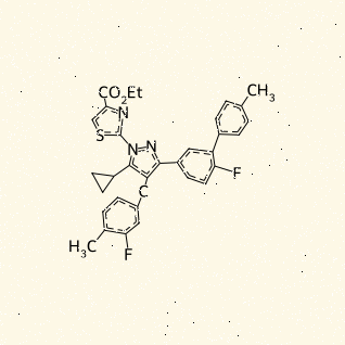 CCOC(=O)c1csc(-n2nc(-c3ccc(F)c(-c4ccc(C)cc4)c3)c(Cc3ccc(C)c(F)c3)c2C2CC2)n1